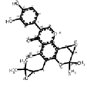 CC1(C)OC1Cc1c2c(c3occ(-c4ccc(O)c(O)c4)c(=O)c3c1O)C1OC1C(C)(C)O2